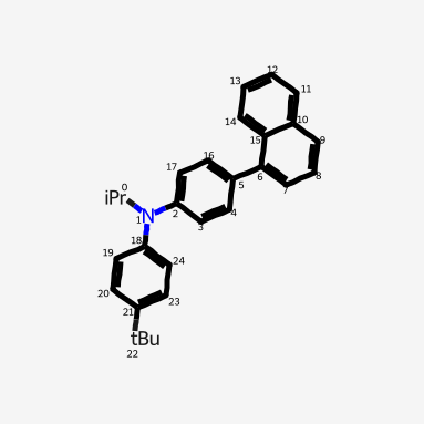 CC(C)N(c1ccc(-c2cccc3ccccc23)cc1)c1ccc(C(C)(C)C)cc1